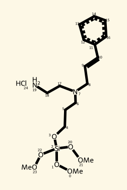 COO[Si](OCCCN(CC=Cc1ccccc1)CCN)(OOC)OOC.Cl